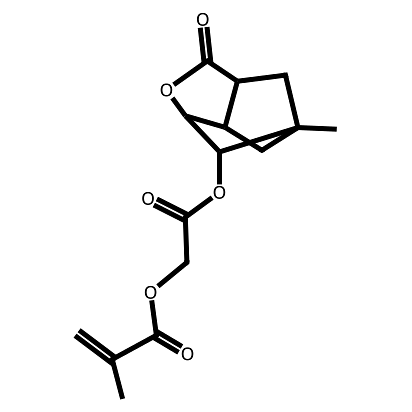 C=C(C)C(=O)OCC(=O)OC1C2OC(=O)C3CC1(C)CC32